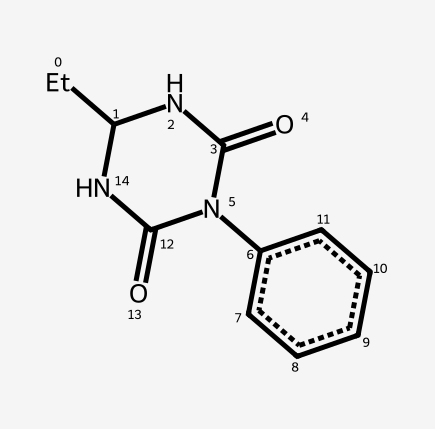 CCC1NC(=O)N(c2ccccc2)C(=O)N1